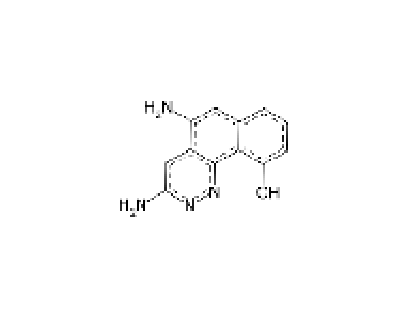 Nc1cc2c(N)cc3cccc(O)c3c2nn1